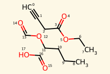 C#CCC(=O)OCC.CCCCOC=O.O=CO